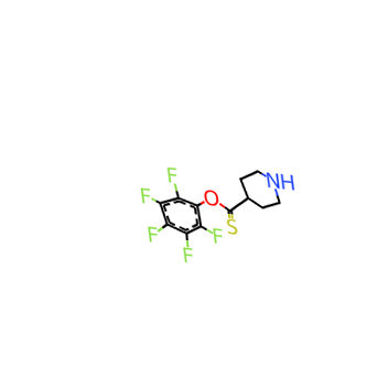 Fc1c(F)c(F)c(OC(=S)C2CCNCC2)c(F)c1F